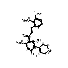 COc1cccc(/C=C/C(=O)c2c(OC)cc(C)c(C3=CCNCC3)c2O)c1OC